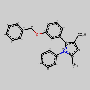 Cc1cc(C(=O)O)c(-c2cccc(OCc3ccccc3)c2)n1-c1ccccc1